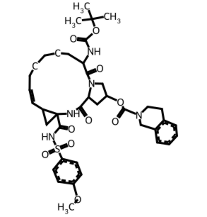 COc1ccc(S(=O)(=O)NC(=O)C23CC2C=CCCCCCC(NC(=O)OC(C)(C)C)C(=O)N2CC(OC(=O)N4CCc5ccccc5C4)CC2C(=O)N3)cc1